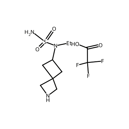 CCN(C1CC2(CNC2)C1)S(N)(=O)=O.O=C(O)C(F)(F)F